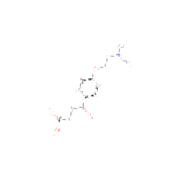 CN(C)CCOc1ccc(C(=O)CCC(=O)O)cc1